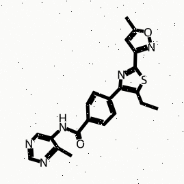 CCc1sc(-c2cc(C)on2)nc1-c1ccc(C(=O)Nc2cncnc2C)cc1